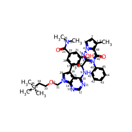 Cc1ccn2nc(C(C)Nc3ncnc4c3c(-c3cc(O)cc(C(=O)N(C)C)c3)cn4COCC[Si](C)(C)C)n(-c3ccccc3)c(=O)c12